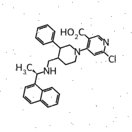 C[C@@H](NCC1CCN(c2cc(Cl)ncc2C(=O)O)CC1c1ccccc1)c1cccc2ccccc12